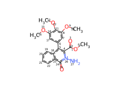 COC(=O)c1c(-c2cc(OC)c(OC)c(OC)c2)c2ccccc2c(=O)n1N